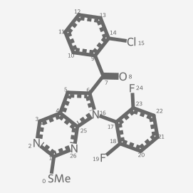 CSc1ncc2cc(C(=O)c3ccccc3Cl)n(-c3c(F)cccc3F)c2n1